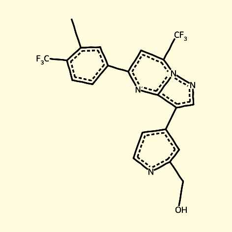 Cc1cc(-c2cc(C(F)(F)F)n3ncc(-c4ccnc(CO)c4)c3n2)ccc1C(F)(F)F